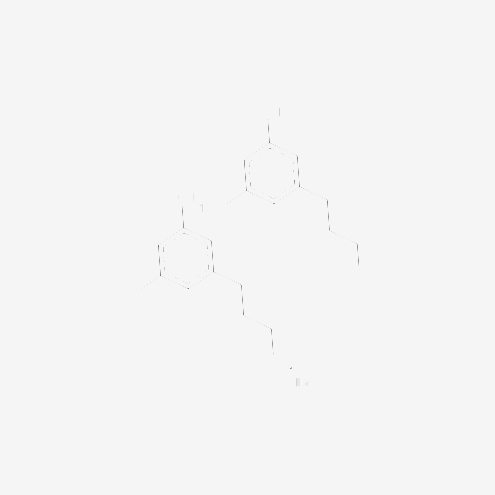 Br.Cc1cc(C)cc(CCCP)c1.Cc1cc(C)cc(CCCP)c1.Cl